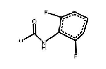 [O]C(=O)Nc1c(F)cccc1F